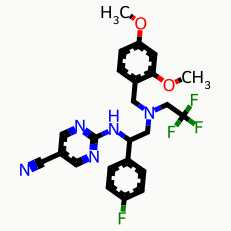 COc1ccc(CN(CC(Nc2ncc(C#N)cn2)c2ccc(F)cc2)CC(F)(F)F)c(OC)c1